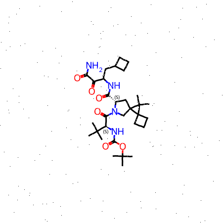 CC(C)(C)OC(=O)N[C@H](C(=O)N1CC2(C[C@H]1C(=O)NC(CC1CCC1)C(=O)C(N)=O)C(C)(C)C21CCC1)C(C)(C)C